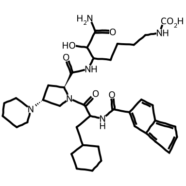 NC(=O)C(O)C(CCCCNC(=O)O)NC(=O)[C@@H]1C[C@@H](N2CCCCC2)CN1C(=O)C(CC1CCCCC1)NC(=O)c1ccc2ccccc2c1